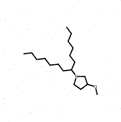 CCCCCCCC(CCCCCC)N1CCC(OC)C1